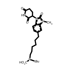 Cn1c(=O)n(C2CCC(=O)NC2=O)c2ccc(CCCCCCN(C(=O)O)C(C)(C)C)cc21